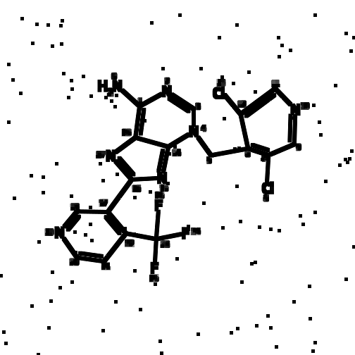 Nc1ncn(Cc2c(Cl)cncc2Cl)c2nc(-c3cnccc3C(F)(F)F)nc1-2